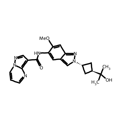 COc1cc2nn([C@H]3C[C@H](C(C)(C)O)C3)cc2cc1NC(=O)c1cnn2cccnc12